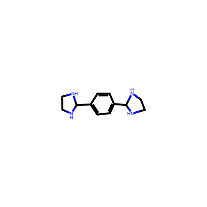 c1cc(C2NCCN2)ccc1C1NCCN1